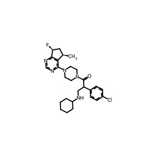 C[C@@H]1C[C@H](F)c2ncnc(N3CCN(C(=O)C(CNC4CCCCC4)c4ccc(Cl)cc4)CC3)c21